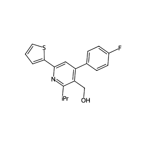 CC(C)c1nc(-c2cccs2)cc(-c2ccc(F)cc2)c1CO